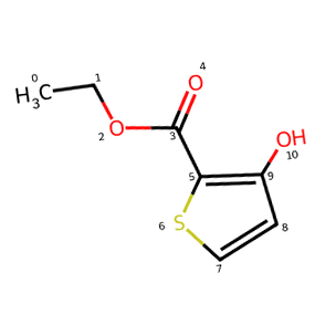 CCOC(=O)c1sccc1O